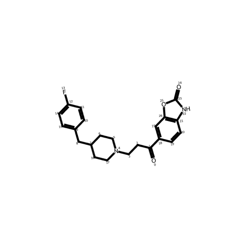 O=C(CCN1CCC(Cc2ccc(F)cc2)CC1)c1ccc2[nH]c(=O)oc2c1